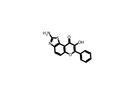 Nc1nc2ccc3oc(-c4ccccc4)c(O)c(=O)c3c2s1